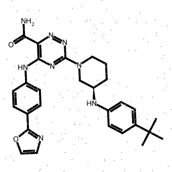 CC(C)(C)c1ccc(N[C@@H]2CCCN(c3nnc(C(N)=O)c(Nc4ccc(-c5ncco5)cc4)n3)C2)cc1